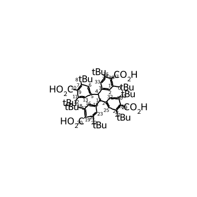 CC(C)(C)c1cc(C(c2cc(C(C)(C)C)c(C(=O)O)c(C(C)(C)C)c2)C(c2cc(C(C)(C)C)c(C(=O)O)c(C(C)(C)C)c2)c2cc(C(C)(C)C)c(C(=O)O)c(C(C)(C)C)c2)cc(C(C)(C)C)c1C(=O)O